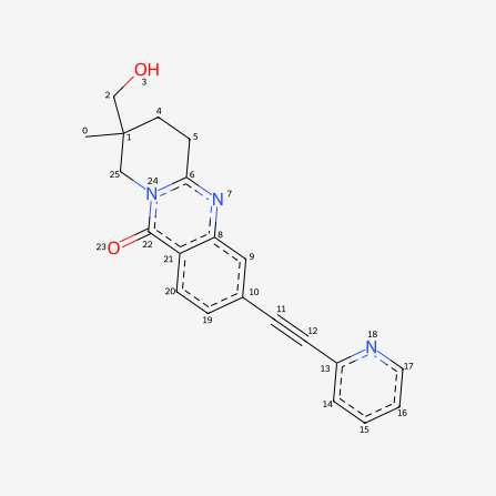 CC1(CO)CCc2nc3cc(C#Cc4ccccn4)ccc3c(=O)n2C1